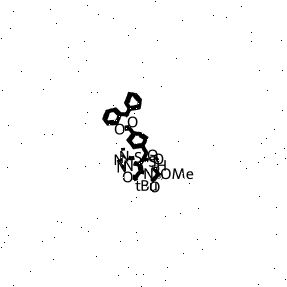 CO[C@H]1C(=O)N2C(C(=O)C(C)(C)C)=C(C)C(Cc3ccc(C(=O)OC(c4ccccc4)c4ccccc4)cc3)(Sc3nnnn3C)S(=O)(=O)[C@@H]12